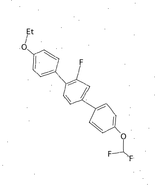 CCOc1ccc(-c2ccc(-c3ccc(OC(F)F)cc3)cc2F)cc1